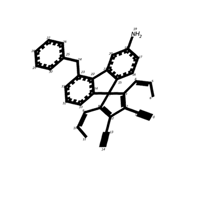 C#CC1=C(/C=C\C)C2(C(/C=C\C)=C1C#C)c1ccc(N)cc1-c1c(Cc3ccccc3)cccc12